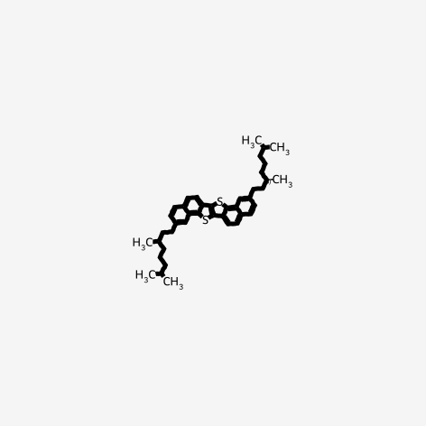 CC(C)CCCC(C)CCc1ccc2ccc3c(sc4c5ccc6ccc(CC[C@@H](C)CCCC(C)C)cc6c5sc34)c2c1